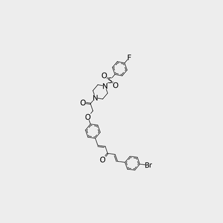 O=C(C=Cc1ccc(Br)cc1)C=Cc1ccc(OCC(=O)N2CCN(S(=O)(=O)c3ccc(F)cc3)CC2)cc1